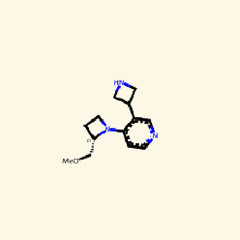 COC[C@@H]1CCN1c1ccncc1C1CNC1